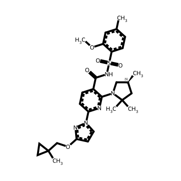 COc1cc(C)ccc1S(=O)(=O)NC(=O)c1ccc(-n2ccc(OCC3(C)CC3)n2)nc1N1C[C@@H](C)CC1(C)C